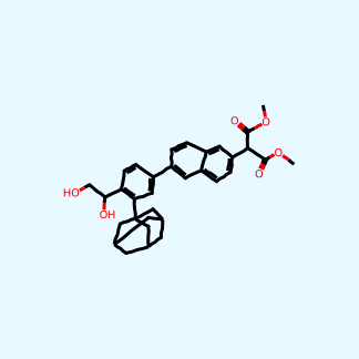 COC(=O)C(C(=O)OC)c1ccc2cc(-c3ccc(C(O)CO)c(C45CC6CC(CC(C6)C4)C5)c3)ccc2c1